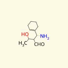 CC(O)C(C=O)[C@@H](N)C1=CCCCC1